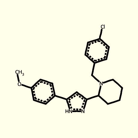 COc1ccc(-c2cc(C3CCCCN3Cc3ccc(Cl)cc3)n[nH]2)cc1